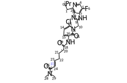 CC(C)Cc1ncc(F)c2[nH]c(Cn3c(Cl)ccc(NC(=O)[CH]CC/C=C/C(=O)N(C)C)c3=O)nc12